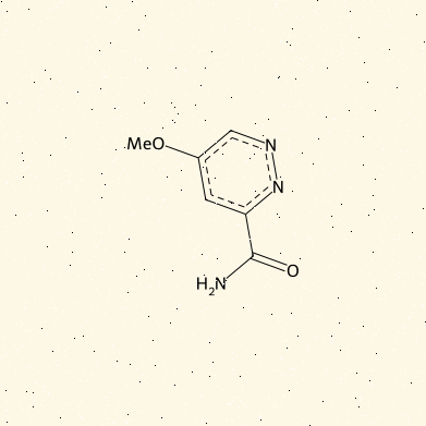 COc1cnnc(C(N)=O)c1